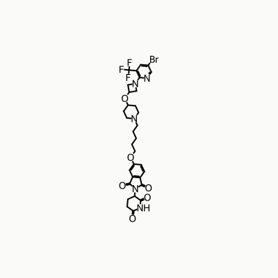 O=C1CCC(N2C(=O)c3ccc(OCCCCCN4CCC(OC5CN(c6ncc(Br)cc6C(F)(F)F)C5)CC4)cc3C2=O)C(=O)N1